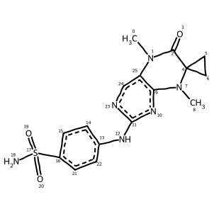 CN1C(=O)C2(CC2)N(C)c2nc(Nc3ccc(S(N)(=O)=O)cc3)ncc21